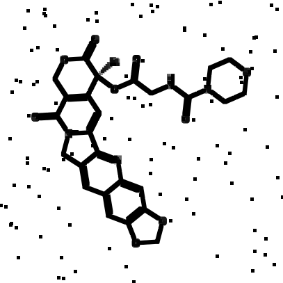 CC[C@@]1(OC(=O)CNC(=O)N2CCOCC2)C(=O)OCc2c1cc1n(c2=O)Cc2cc3cc4c(cc3nc2-1)OCO4